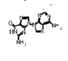 Nc1nc2c(ncn2-n2cnc3c(N)ncnc32)c(=O)[nH]1